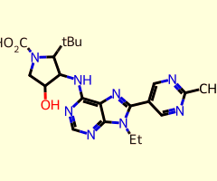 CCn1c(-c2cnc(C)nc2)nc2c(NC3C(O)CN(C(=O)O)C3C(C)(C)C)ncnc21